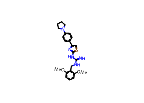 COc1cccc(OC)c1CNC(=N)Nc1nc(-c2ccc(N3CCCC3)cc2)cs1